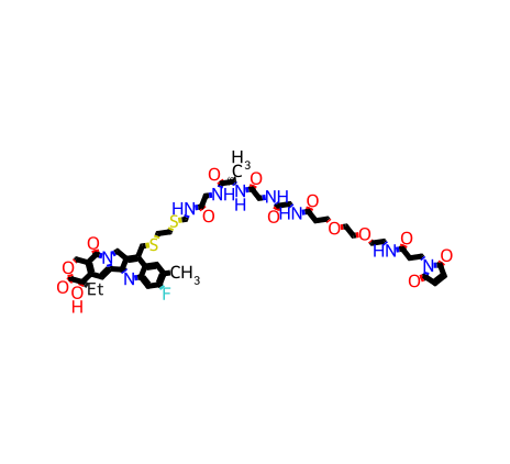 CCC1(O)C(=O)OCc2c1cc1n(c2=O)Cc2c-1nc1cc(F)c(C)cc1c2CSCCSCNC(=O)CNC(=O)[C@H](C)NC(=O)CNC(=O)CNC(=O)CCOCCOCCNC(=O)CCN1C(=O)C=CC1=O